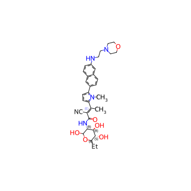 CC[C@H]1OC(O)[C@H](NC(=O)/C(C#N)=C(\C)c2ccc(-c3ccc4cc(NCCN5CCOCC5)ccc4c3)n2C)[C@@H](O)[C@@H]1O